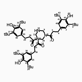 CC(C)(C)c1cc(CCC(=O)N2CNC[N+](C(=O)CCc3cc(C(C)(C)C)c(O)c(C(C)(C)C)c3)(C(=O)CCc3cc(C(C)(C)C)c(O)c(C(C)(C)C)c3)C2)cc(C(C)(C)C)c1O